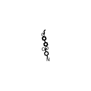 CCCOc1ccc(-c2ccc(OC(=O)C3CCC(C#N)CC3)cc2)cc1